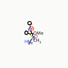 COc1c(C(=O)N(C)CCNC(C)C)sc2c1c(=O)n(CC(=O)c1ccccc1)c1ccccc21